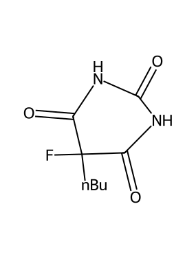 CCCCC1(F)C(=O)NC(=O)NC1=O